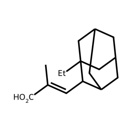 CCC12CC3CC(CC(C3)C1C=C(C)C(=O)O)C2